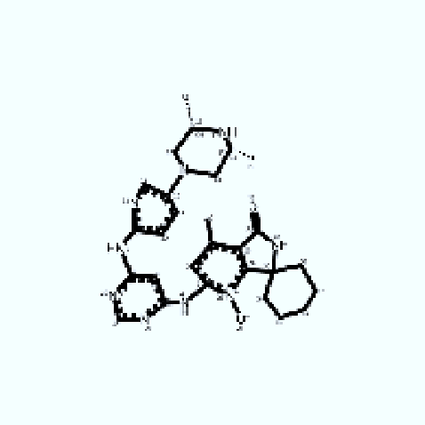 Cc1cc(Nc2cc(Nc3ccc(N4C[C@@H](C)N[C@@H](C)C4)cn3)ncn2)[n+]([O-])c2c1C(=O)NC21CCCCC1